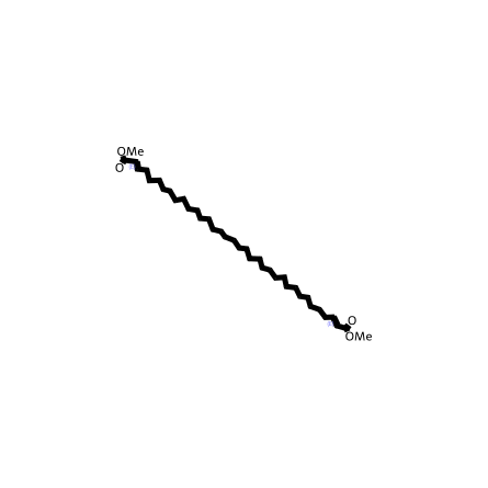 COC(=O)/C=C/CCCCCCCCCCCCCCCCCCCCCCCCCCCCCC/C=C/C(=O)OC